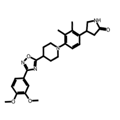 COc1ccc(-c2noc(C3CCN(c4ccc(C5CNC(=O)C5)c(C)c4C)CC3)n2)cc1OC